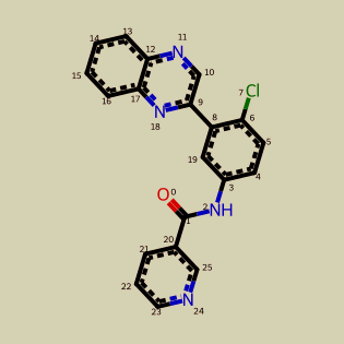 O=C(Nc1ccc(Cl)c(-c2cnc3ccccc3n2)c1)c1cccnc1